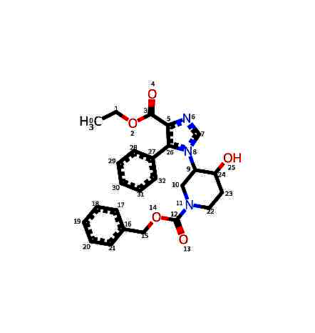 CCOC(=O)c1ncn(C2CN(C(=O)OCc3ccccc3)CCC2O)c1-c1ccccc1